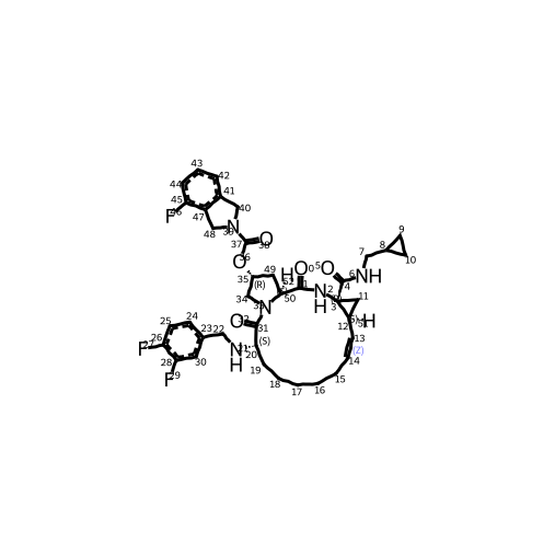 O=C1N[C@]2(C(=O)NCC3CC3)C[C@H]2/C=C\CCCCC[C@H](NCc2ccc(F)c(F)c2)C(=O)N2C[C@H](OC(=O)N3Cc4cccc(F)c4C3)C[C@@H]12